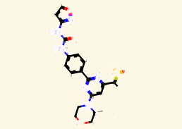 CC(c1cc(N2CCOC[C@@H]2C)nc(-c2ccc(NC(=O)Nc3ccon3)cc2)n1)=S(=O)=O